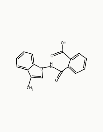 Cc1cn(NC(=O)c2ccccc2C(=O)O)c2ccccc12